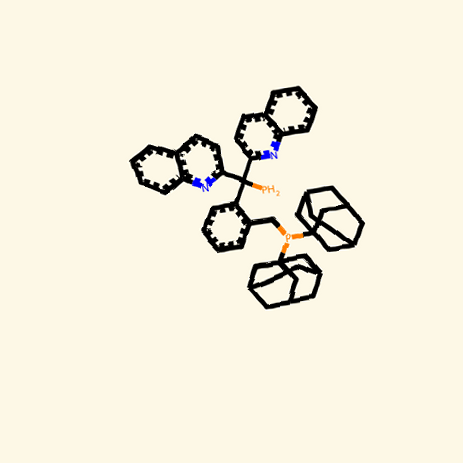 PC(c1ccc2ccccc2n1)(c1ccc2ccccc2n1)c1ccccc1CP(C12CC3CC(CC(C3)C1)C2)C12CC3CC(CC(C3)C1)C2